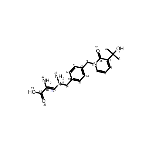 CC(C)(O)c1cccn(Cc2ccc(CN(N)/C=C(\N)C(=O)O)cc2)c1=O